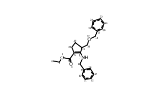 CCOC(=O)C1=C(NCc2ccccc2)C(COCc2ccccc2)CC1